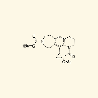 COCC(=O)N1CCCc2cc3c(c(C4CC4)c21)CCN(C(=O)OC(C)(C)C)CC3